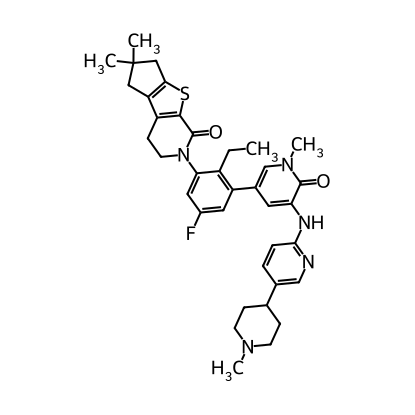 CCc1c(-c2cc(Nc3ccc(C4CCN(C)CC4)cn3)c(=O)n(C)c2)cc(F)cc1N1CCc2c(sc3c2CC(C)(C)C3)C1=O